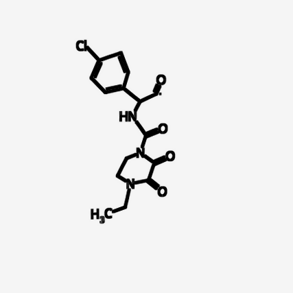 CCN1CCN(C(=O)NC([C]=O)c2ccc(Cl)cc2)C(=O)C1=O